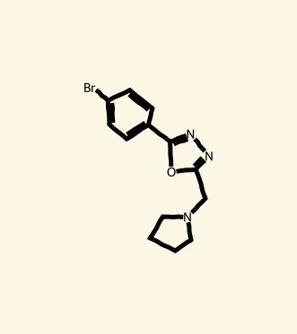 Brc1ccc(-c2nnc(CN3CCCC3)o2)cc1